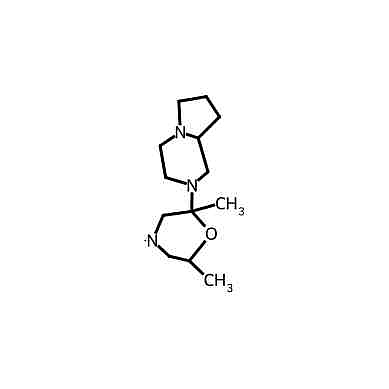 CC1C[N]CC(C)(N2CCN3CCCC3C2)O1